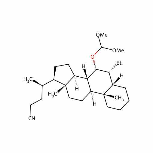 CC[C@H]1[C@@H](OC(OC)OC)[C@@H]2[C@H](CC[C@]3(C)[C@@H]([C@H](C)CCC#N)CC[C@@H]23)[C@@]2(C)CCCC[C@@H]12